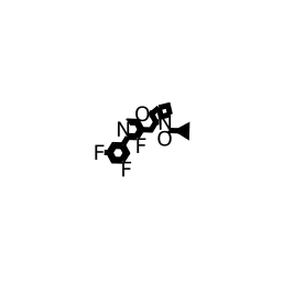 O=C1C2CC(C2)N(C(=O)C2CC2)C1Cc1ccnc(-c2cc(F)cc(F)c2)c1F